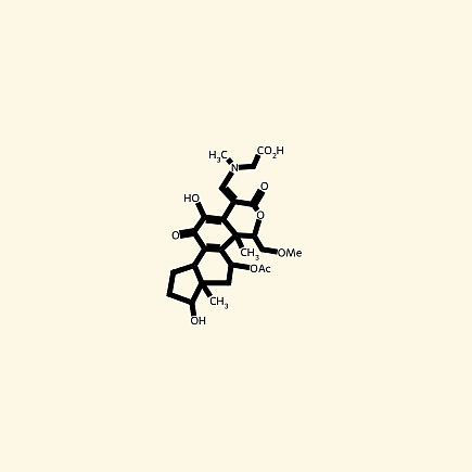 COCC1OC(=O)C(=CN(C)CC(=O)O)C2=C(O)C(=O)C3=C(C(OC(C)=O)CC4(C)C(O)CCC34)C21C